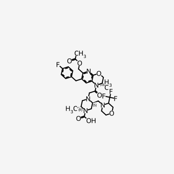 CC(=O)OCc1nc2c(cc1Cc1ccc(F)cc1)N(C(=O)CN1C[C@@H](C)N(C(=O)O)C[C@@H]1CN1CCOCC1C(F)(F)F)[C@@H](C)CO2